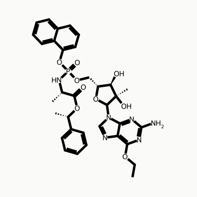 CCOc1nc(N)nc2c1ncn2C1O[C@H](COP(=O)(N[C@@H](C)C(=O)O[C@@H](C)c2ccccc2)Oc2cccc3ccccc23)[C@@H](O)[C@@]1(C)O